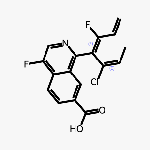 C=C/C(F)=C(\C(Cl)=C/C)c1ncc(F)c2ccc(C(=O)O)cc12